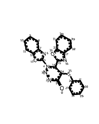 O=c1nnn(-c2nc3ccccc3o2)c(-c2nc3ccccc3o2)c1Sc1ccccc1